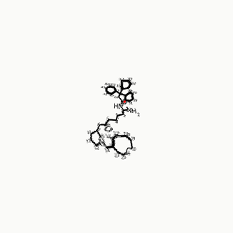 NC(CCCCC(=O)CC1CCCN(CC2=CCCCCCCC2)C1)NC(=O)CC(c1ccccc1)(c1ccccc1)c1ccccc1